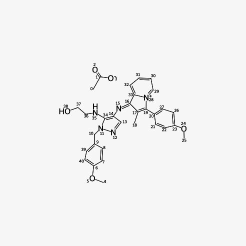 CC(=O)[O-].COc1ccc(Cn2ncc(/N=C3\C(C)=C(c4ccc(OC)cc4)[n+]4ccccc43)c2NCCO)cc1